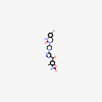 Cc1cc(C(=O)c2cc(N3CCC(N4CCc5cc(Cl)ccc5NC4=O)CC3)ncn2)cc2oc(=O)n(C)c12